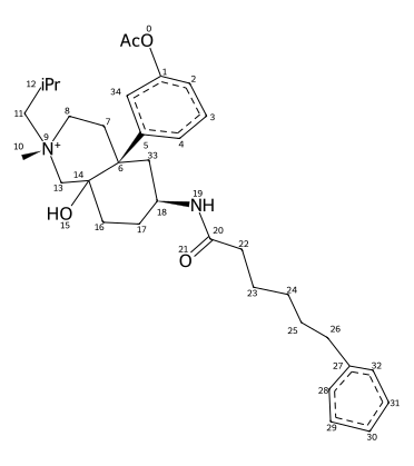 CC(=O)Oc1cccc([C@]23CC[N@@+](C)(CC(C)C)CC2(O)CC[C@H](NC(=O)CCCCCc2ccccc2)C3)c1